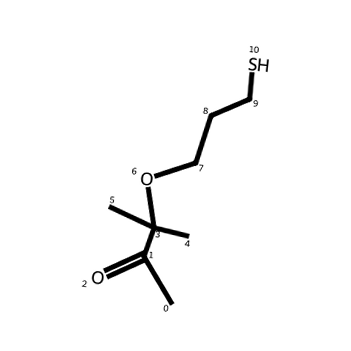 CC(=O)C(C)(C)OCCCS